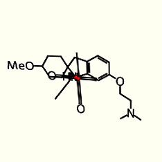 COC1CCC2(CC1)Cc1ccc(OCCN(C)C)cc1C21NC(=O)N(C)C1=O